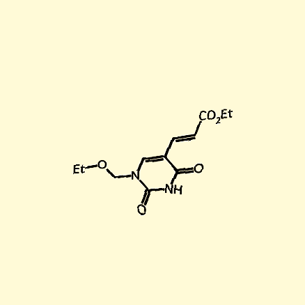 CCOCn1cc(C=CC(=O)OCC)c(=O)[nH]c1=O